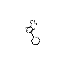 Cc1nsc(C2CC[CH]CC2)n1